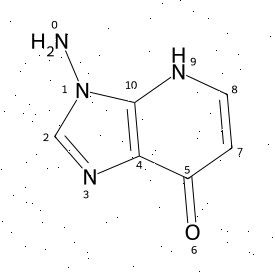 Nn1cnc2c(=O)cc[nH]c21